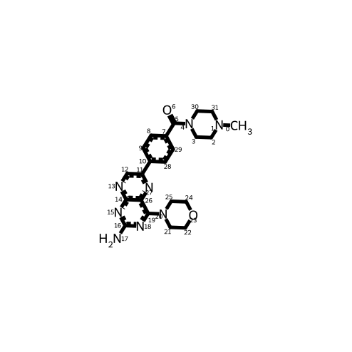 CN1CCN(C(=O)c2ccc(-c3cnc4nc(N)nc(N5CCOCC5)c4n3)cc2)CC1